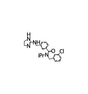 CC(C)N(Cc1cccc(Cl)c1)C(=O)c1cccc(CNC2=NCCN2)c1